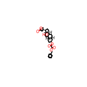 C[C@]12CC[C@H](OC(=O)C(=O)OCc3ccccc3)C[C@H]1CC[C@@H]1[C@@H]2CC[C@]2(C)[C@@H](C3=CC(=O)OC3)CC[C@]12O